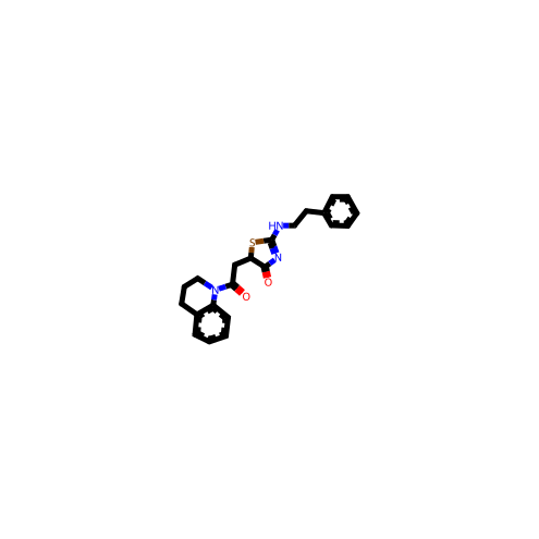 O=C1N=C(NCCc2ccccc2)SC1CC(=O)N1CCCc2ccccc21